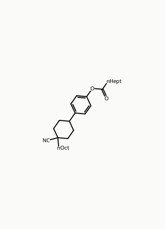 CCCCCCCCC1(C#N)CCC(c2ccc(OC(=O)CCCCCCC)cc2)CC1